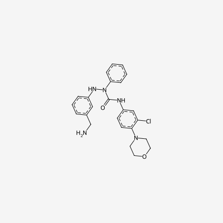 NCc1cccc(NN(C(=O)Nc2ccc(N3CCOCC3)c(Cl)c2)c2ccccc2)c1